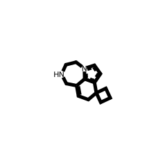 C1=C2CNCCn3ccc(c32)C2(C1)CCC2